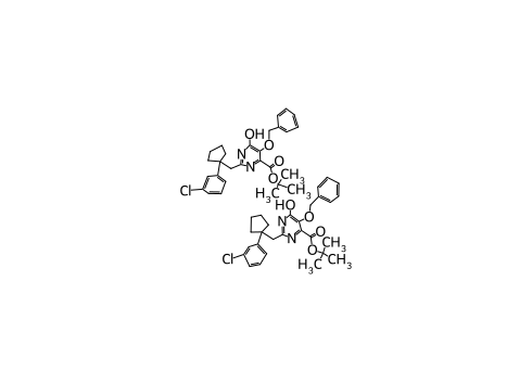 CC(C)(C)OC(=O)c1nc(CC2(c3cccc(Cl)c3)CCCC2)nc(O)c1OCc1ccccc1.CC(C)(C)OC(=O)c1nc(CC2(c3cccc(Cl)c3)CCCC2)nc(O)c1OCc1ccccc1